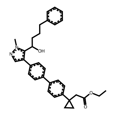 CCOC(=O)CC1(c2ccc(-c3ccc(-c4cnn(C)c4C(O)CCCc4ccccc4)cc3)cc2)CC1